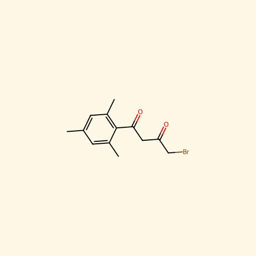 Cc1cc(C)c(C(=O)CC(=O)CBr)c(C)c1